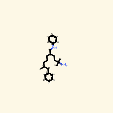 CC(CCCC(CCC(C)(C)N)CNc1ccccc1)Cc1ccccc1